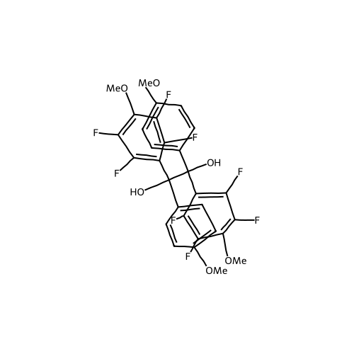 COc1ccc(C(O)(c2c(F)c(F)c(OC)c(F)c2F)C(O)(c2ccc(OC)cc2)c2c(F)c(F)c(OC)c(F)c2F)cc1